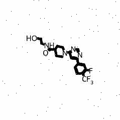 O=C(NCCO)C1CCN(c2cc(-c3ccc(C(F)(F)F)c(F)c3)ncn2)CC1